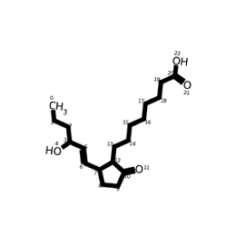 CCCC(O)C=CC1CCC(=O)C1CCCCCCCC(=O)O